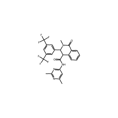 Cc1cc(NC(=O)C2c3ccccc3C(=O)N(C)C2c2cc(C(F)(F)F)cc(C(F)(F)F)c2)nc(C)n1